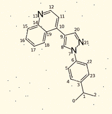 CC(C)c1ccc(-n2cc(-c3ccnc4ccccc34)cn2)cc1